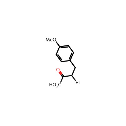 CCC(Cc1ccc(OC)cc1)C(=O)C(=O)O